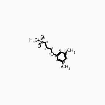 Cc1cc(C)cc(OCCCS(C)(=O)=O)c1